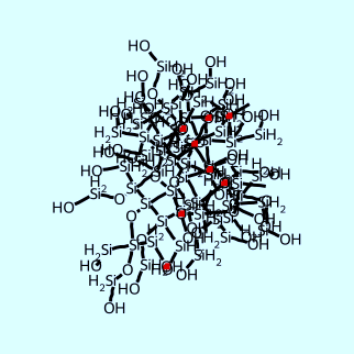 C[SiH](C)O[Si](C)(C)O[Si](O[Si](O[Si](O[SiH2]O)([SiH2]O)[SiH2]O)([Si](O[SiH2]O)([SiH2]O)[SiH2]O)[Si](O[SiH2]O)([SiH2]O)[SiH2]O)([Si](O[Si](O[SiH2]O)([SiH2]O)[SiH2]O)([Si](O[SiH2]O)([SiH2]O)[SiH2]O)[Si](O[SiH2]O)([SiH2]O)[SiH2]O)[Si](O[Si](O[SiH2]O)([SiH2]O)[Si](O)([SiH2]O)[SiH](C)C)([Si](O[Si](O[SiH2]O)([SiH2]O)[SiH2]O)([Si](O[SiH2]O)([SiH2]O)[SiH2]O)[Si](O[SiH2]O)([SiH2]O)[SiH2]O)[Si](O[Si](O[SiH2]O)([SiH2]O)[SiH2]O)([Si](O[SiH2]O)([SiH2]O)[SiH2]O)[Si](O[SiH2]O)([SiH2]O)[SiH2]O